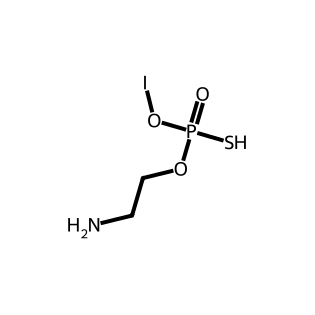 NCCOP(=O)(S)OI